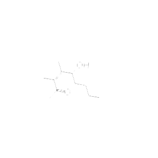 CCCCC(O)C(C)=C(C)C(C)=O